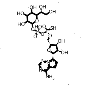 Nc1ncnn2c([C@@H]3O[C@H](COP(=O)(S)OP(=O)(O)OC4OC([C@@H](O)CO)C(O)C(O)C4O)[C@@H](O)[C@H]3O)ccc12